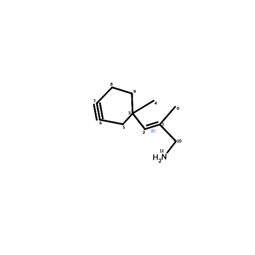 C/C(=C\C1(C)CC#CCC1)CN